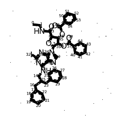 CCNC(=O)C1OC(n2cnc3c(NCC(Cc4ccccc4)Cc4ccccc4)nc(I)nc32)C(OC(=O)c2ccccc2)C1OC(=O)c1ccccc1